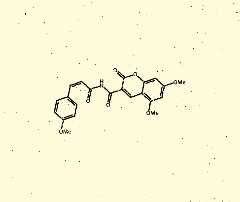 COc1ccc(/C=C\C(=O)NC(=O)c2cc3c(OC)cc(OC)cc3oc2=O)cc1